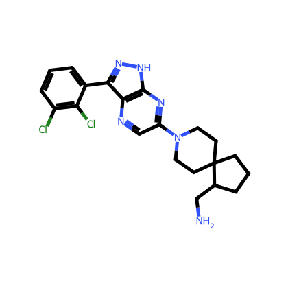 NCC1CCCC12CCN(c1cnc3c(-c4cccc(Cl)c4Cl)n[nH]c3n1)CC2